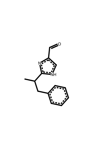 CC(Cc1ccccc1)c1nc(C=O)c[nH]1